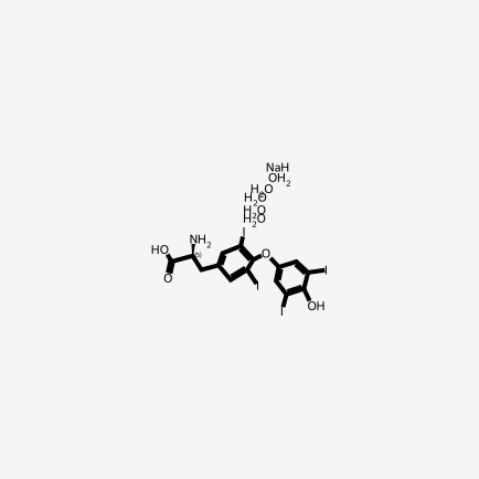 N[C@@H](Cc1cc(I)c(Oc2cc(I)c(O)c(I)c2)c(I)c1)C(=O)O.O.O.O.O.O.[NaH]